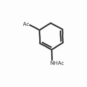 CC(=O)NC1=CC(C(C)=O)CC=C1